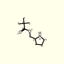 CC(C)(C)C(=O)OCC1CCCN1